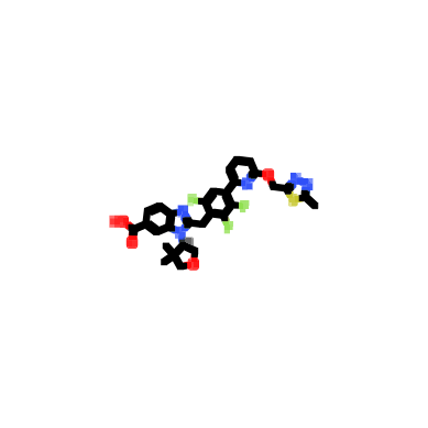 Cc1nnc(COc2cccc(-c3cc(F)c(Cc4nc5ccc(C(=O)O)cc5n4[C@H]4COCC4(C)C)c(F)c3F)n2)s1